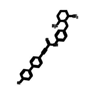 CC1CCCC(C)N1Cc1ccc(NC(=O)C#Cc2ccc(-c3ccc(Cl)cc3)cc2)cc1